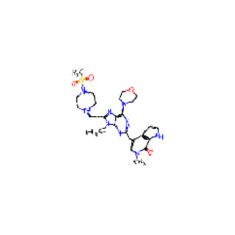 Cn1cc(-c2nc(N3CCOCC3)c3nc(CN4CCN(S(C)(=O)=O)CC4)n(C)c3n2)c2cc[nH]c2c1=O